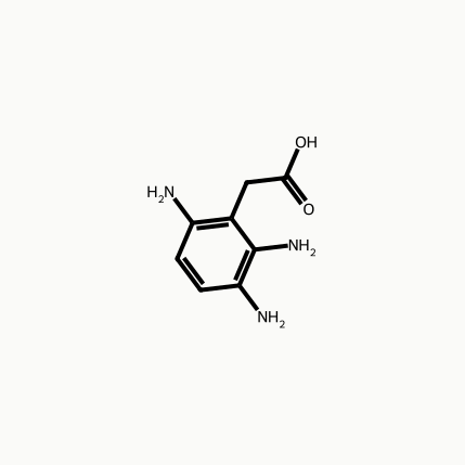 Nc1ccc(N)c(CC(=O)O)c1N